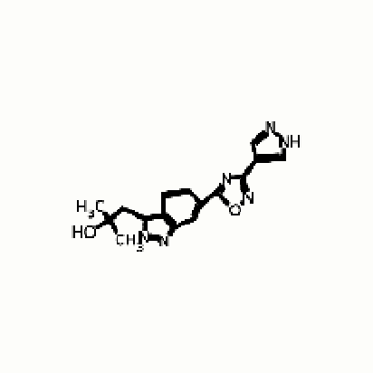 CC(C)(O)CC1N=Nc2cc(-c3nc(-c4cn[nH]c4)no3)ccc21